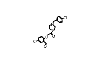 O=Cc1cc(Cl)ccc1OCC(=O)N1CCN(Cc2ccc(Cl)cc2)CC1